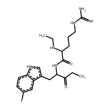 CCNC(CCCNC(=N)N)C(=O)NC(Cc1c[nH]c2ccc(F)cc12)C(=O)CC